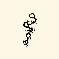 C[C@@H](CC1CCCCC1)NCc1ccccc1NS(=O)(=O)c1ccc(-c2csnn2)nc1